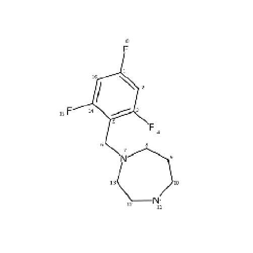 Fc1cc(F)c(CN2CCC[N]CC2)c(F)c1